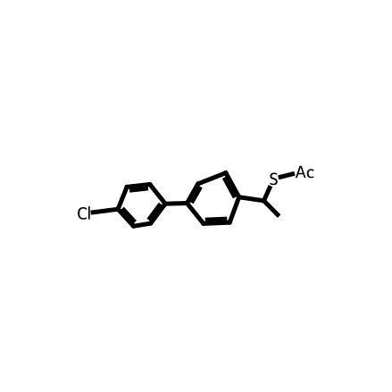 CC(=O)SC(C)c1ccc(-c2ccc(Cl)cc2)cc1